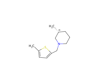 Cc1ccc(CN2CCC[C@@H](C)C2)s1